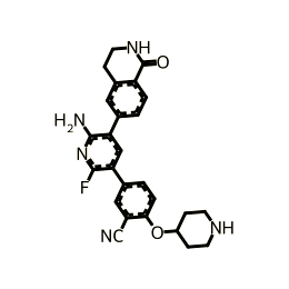 N#Cc1cc(-c2cc(-c3ccc4c(c3)CCNC4=O)c(N)nc2F)ccc1OC1CCNCC1